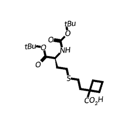 CC(C)(C)OC(=O)N[C@@H](CCSCCC1(C(=O)O)CCC1)C(=O)OC(C)(C)C